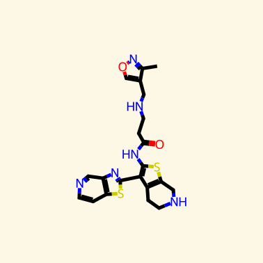 Cc1nocc1CNCCC(=O)Nc1sc2c(c1-c1nc3cnccc3s1)CCNC2